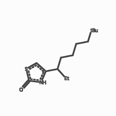 CCC(CCCCC(C)(C)C)c1csc(=O)[nH]1